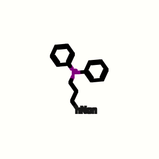 CCCCC[CH]CCCCCCP(c1ccccc1)c1ccccc1